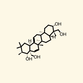 C[C@@H]1[C@@H](O)[C@]2(CO)C=C[C@]3(C)C(=CCC4[C@@]5(C)CC[C@H](O)[C@](C)(CO)[C@@H]5CC[C@]43C)[C@@H]2CC1(C)C